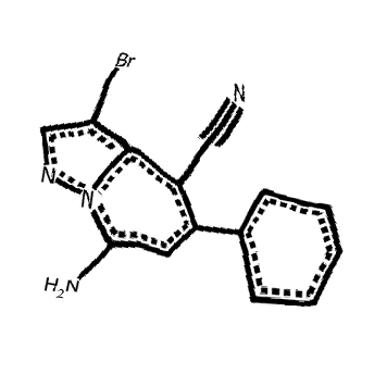 N#Cc1c(-c2ccccc2)cc(N)n2ncc(Br)c12